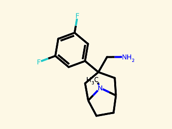 CN1C2CCC1CC(CN)(c1cc(F)cc(F)c1)C2